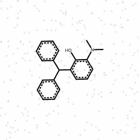 CN(C)c1cccc(C(c2ccccc2)c2ccccc2)c1O